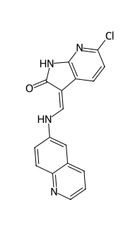 O=C1Nc2nc(Cl)ccc2C1=CNc1ccc2ncccc2c1